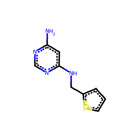 Nc1cc(NCc2cccs2)ncn1